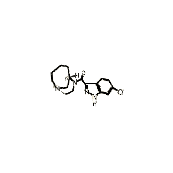 O=C(c1n[nH]c2cc(Cl)ccc12)N1CC[N@]2CCCC[C@H]1C2